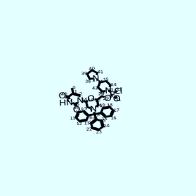 Cc1cn(C2CN(C(c3ccccc3)(c3ccccc3)c3ccccc3)CC(COP(=O)(Cl)N3CCC(N4CCCC4)CC3)O2)c(=O)[nH]c1=O